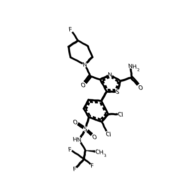 C[C@H](NS(=O)(=O)c1ccc(-c2sc(C(N)=O)nc2C(=O)N2CCC(F)CC2)c(Cl)c1Cl)C(F)(F)F